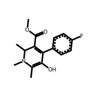 COC(=O)C1=C(c2ccc(F)cc2)C(O)=C(C)N(C)C1C